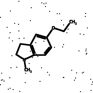 CCOc1ccc2c(c1)CCN2C